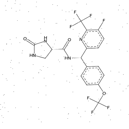 O=C1NC[C@@H](C(=O)N[C@@H](c2ccc(OC(F)(F)F)cc2)c2ccc(F)c(C(F)(F)F)n2)N1